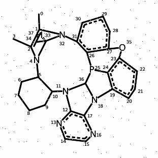 CC1=C(C)N2C3CCCCC3N3c4nccnc4N4c5cccc6c5P(c5c(cccc5N1[C@@H]2C)O6)C43